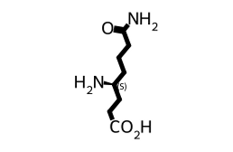 NC(=O)CCC[C@H](N)CCC(=O)O